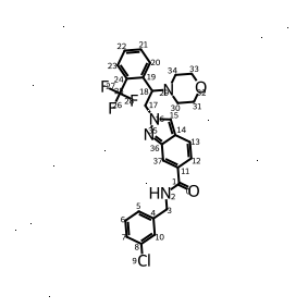 O=C(NCc1cccc(Cl)c1)c1ccc2cn(CC(c3ccccc3C(F)(F)F)N3CCOCC3)nc2c1